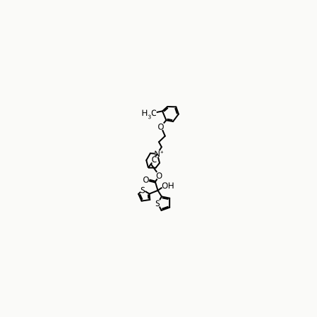 Cc1ccccc1OCCC[N+]12CCC(CC1)C(OC(=O)C(O)(c1cccs1)c1cccs1)C2